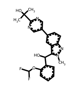 Cn1nc2ccc(-c3cnc(C(C)(C)O)nc3)cc2c1C(O)c1ccccc1OC(F)F